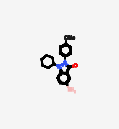 Bc1ccc2c(c1)c(=O)n(-c1ccc(OC)cc1)n2C1CCCCC1